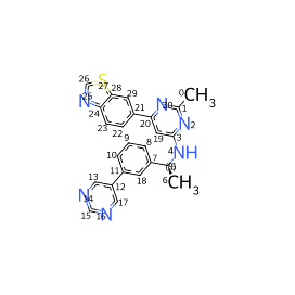 Cc1nc(N[C@@H](C)c2cccc(-c3cncnc3)c2)cc(-c2ccc3ncsc3c2)n1